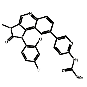 CNC(=O)Nc1ccc(-c2ccc3ncc4c(c3c2)n(-c2ccc(Cl)cc2Cl)c(=O)n4C)cn1